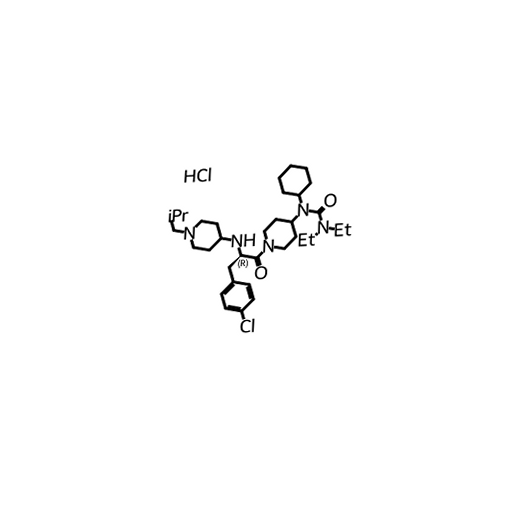 CCN(CC)C(=O)N(C1CCCCC1)C1CCN(C(=O)[C@@H](Cc2ccc(Cl)cc2)NC2CCN(CC(C)C)CC2)CC1.Cl